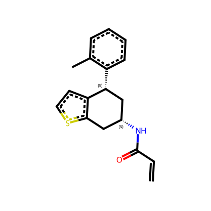 C=CC(=O)N[C@@H]1Cc2sccc2[C@H](c2ccccc2C)C1